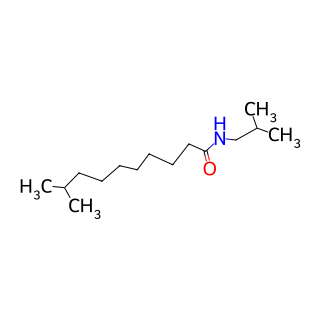 CC(C)CCCCCCCC(=O)NCC(C)C